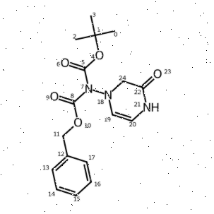 CC(C)(C)OC(=O)N(C(=O)OCc1ccccc1)N1C=CNC(=O)C1